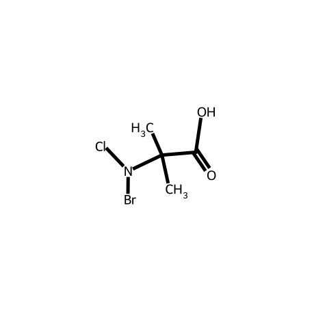 CC(C)(C(=O)O)N(Cl)Br